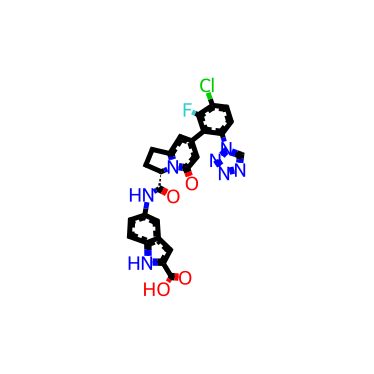 O=C(O)c1cc2cc(NC(=O)[C@@H]3CCc4cc(-c5c(-n6cnnn6)ccc(Cl)c5F)cc(=O)n43)ccc2[nH]1